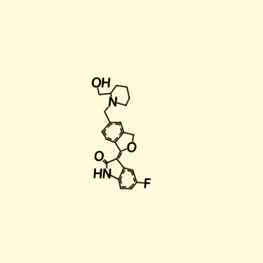 O=C1Nc2ccc(F)cc2C1=C1OCc2cc(CN3CCCCC3CO)ccc21